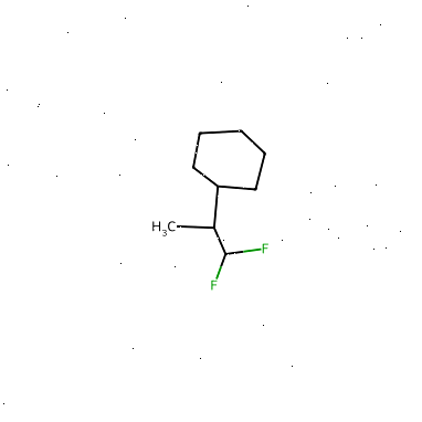 CC(C(F)F)C1CCCCC1